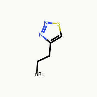 [CH2]CCCCCc1csnn1